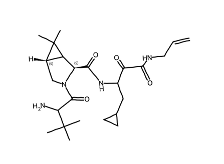 C=CCNC(=O)C(=O)C(CC1CC1)NC(=O)[C@@H]1C2[C@H](CN1C(=O)C(N)C(C)(C)C)C2(C)C